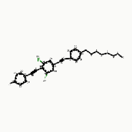 CCCCCCCCc1ccc(C#Cc2cc(F)c(C#Cc3ccc(C)cc3)c(F)c2)cc1